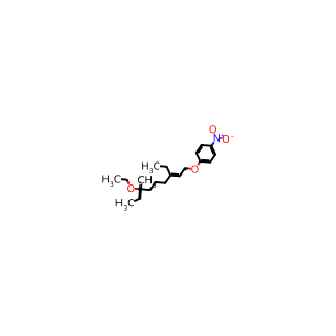 CCOC(C)(CC)CCC/C(=C/COc1ccc([N+](=O)[O-])cc1)CC